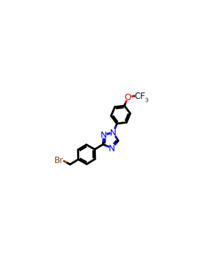 FC(F)(F)Oc1ccc(-n2cnc(-c3ccc(CBr)cc3)n2)cc1